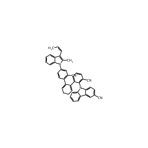 C/C=C\c1c(C)n(-c2ccc(C3=CCCC=C3c3cccc(C#N)c3-n3c4ccccc4c4cc(C#N)ccc43)c(C#N)c2)c2ccccc12